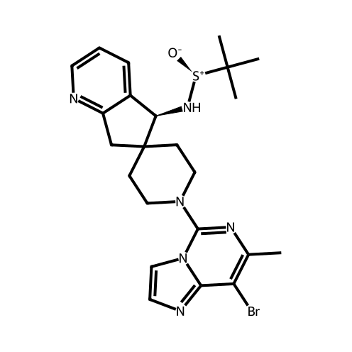 Cc1nc(N2CCC3(CC2)Cc2ncccc2[C@H]3N[S@@+]([O-])C(C)(C)C)n2ccnc2c1Br